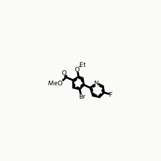 CCOc1cc(-c2ccc(F)cn2)c(Br)cc1C(=O)OC